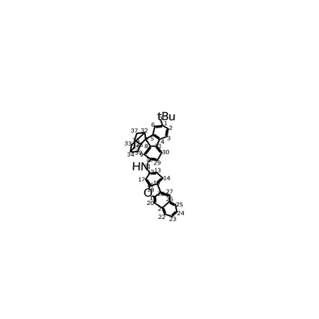 CC(C)(C)c1ccc2c(c1)C1(c3cc(Nc4ccc5c(c4)oc4cc6ccccc6cc45)ccc3-2)C2CC3CC(C2)C1C3